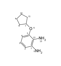 Nc1cccc(OC2CCCC2)c1N